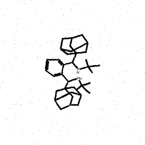 CC(C)(C)PC(c1ccccc1C(PC(C)(C)C)C12CC3CC(CC(C3)C1)C2)C12CC3CC(CC(C3)C1)C2